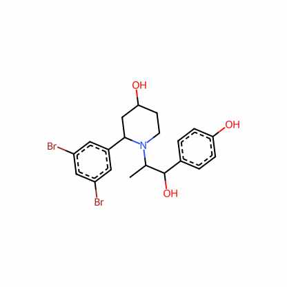 CC(C(O)c1ccc(O)cc1)N1CCC(O)CC1c1cc(Br)cc(Br)c1